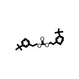 CC(C)(C)c1cccc(CCOC(=O)OCCc2cccc(C(C)(C)C)c2)c1